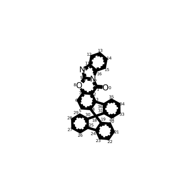 O=c1c2c3c(ccc2oc2nc4ccccc4n12)C1(c2ccccc2-c2ccccc21)c1ccccc1-3